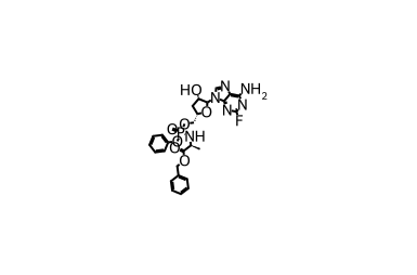 C[C@H](NP(=O)(OC[C@@H]1C[C@H](O)C(n2cnc3c(N)nc(F)nc32)O1)Oc1ccccc1)C(=O)OCc1ccccc1